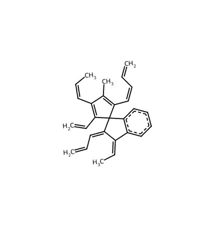 C=C/C=C\C1=C(C)C(/C=C\C)=C(C=C)C12C(=C/C=C)/C(=C\C)c1ccccc12